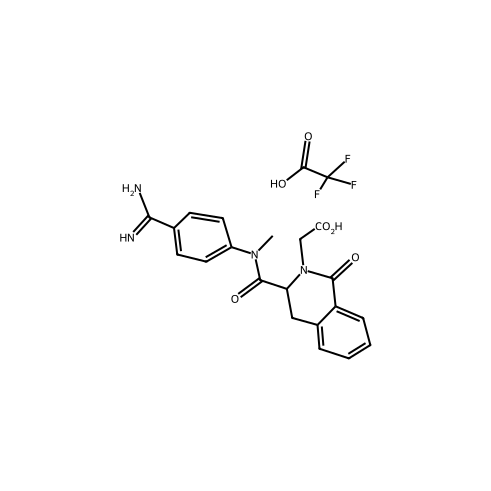 CN(C(=O)C1Cc2ccccc2C(=O)N1CC(=O)O)c1ccc(C(=N)N)cc1.O=C(O)C(F)(F)F